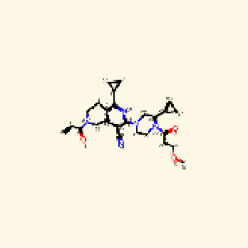 C=CC(=O)N1CCc2c(C3CC3)nc(N3CCN(C(=O)CCOC)C(C4CC4)C3)c(C#N)c2C1